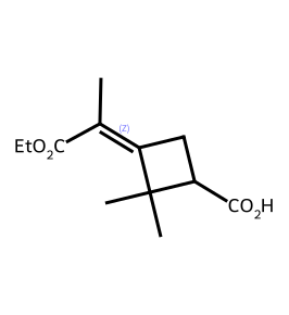 CCOC(=O)/C(C)=C1/CC(C(=O)O)C1(C)C